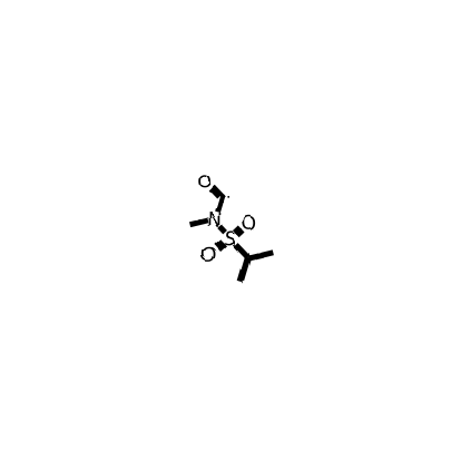 CC(C)S(=O)(=O)N(C)[C]=O